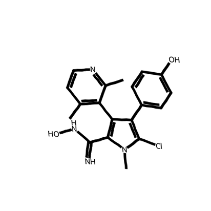 Cc1ccnc(C)c1-c1c(-c2ccc(O)cc2)c(Cl)n(C)c1C(=N)NO